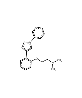 CN(C)CCOc1ccccc1-c1ccn(-c2ccccc2)c1